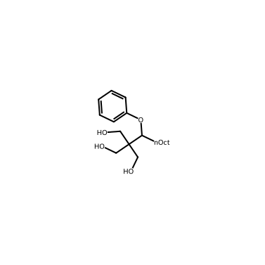 CCCCCCCCC(Oc1ccccc1)C(CO)(CO)CO